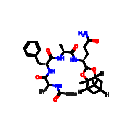 COC(=O)N[C@H](C(=O)N[C@H](Cc1ccccc1)C(=O)N[C@@H](C)C(=O)N[C@H](CCC(N)=O)B1O[C@@H]2C[C@@H]3C[C@@H](C3(C)C)[C@]2(C)O1)C(C)C